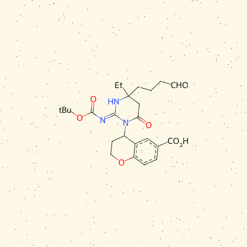 CCC1(CCCC=O)CC(=O)N(C2CCOc3ccc(C(=O)O)cc32)/C(=N/C(=O)OC(C)(C)C)N1